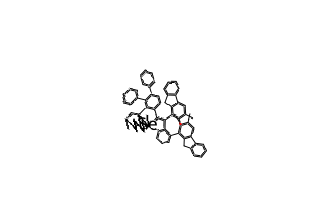 Cc1cc2c(c(-c3cccc4[se]c(-c5ccc(-c6ccccc6)c(-c6ccccc6)c5-c5ccnnn5)c(-c5c(C)c(C)cc6c5Cc5ccccc5-6)c34)c1C)Cc1ccccc1-2